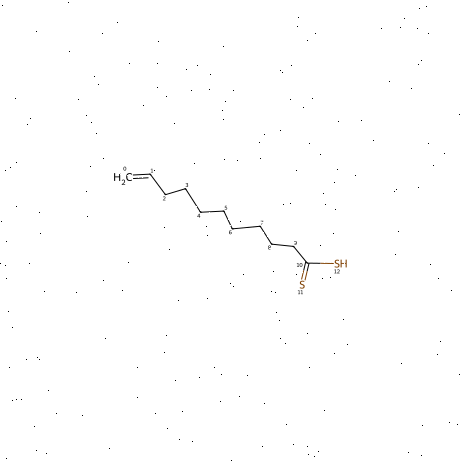 C=CCCCCCCCCC(=S)S